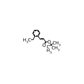 CCc1ccccc1C=CC(=O)OC(C)(C)C